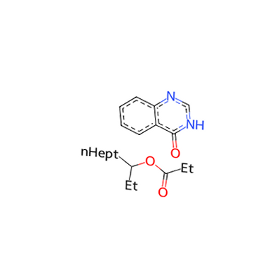 CCCCCCCC(CC)OC(=O)CC.O=c1[nH]cnc2ccccc12